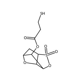 O=C(CCS)OC1C2CC3C(O2)C1OS3(=O)=O